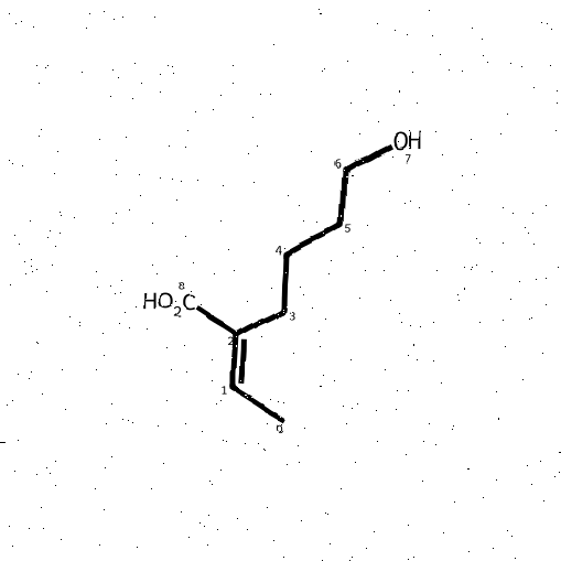 C/C=C(\CCCCO)C(=O)O